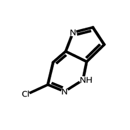 Clc1cc2nccc-2[nH]n1